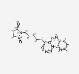 Nc1cccnc1N(N)OC(=O)CCCCCN1C(=O)CCC1=O